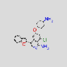 Nc1ncc(-c2cc3ccccc3o2)c2cc(O[C@H]3CC[C@H](N)CC3)cc(Cl)c12